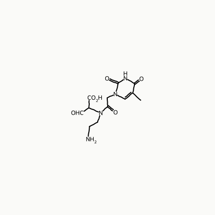 Cc1cn(CC(=O)N(CCN)C(C=O)C(=O)O)c(=O)[nH]c1=O